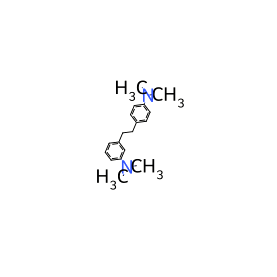 CN(C)c1ccc(CCc2cccc(N(C)C)c2)cc1